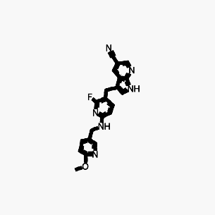 COc1ccc(CNc2ccc(Cc3c[nH]c4ncc(C#N)cc34)c(F)n2)cn1